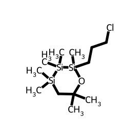 CC1(C)C[Si](C)(C)[Si](C)(C)[Si](C)(CCCCl)O1